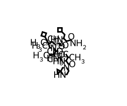 CC(C)C(NC(=O)N[C@@H](C(=O)N1C[C@@](C)(C(C)(C)C2CCC2)C[C@H]1C(=O)NC(CC1CCC1)C(=O)C(N)=O)C(C)(C)C)C(=O)N1CCNC2(CC2)C1